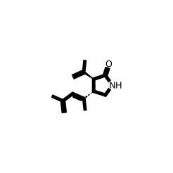 C=C(C)/C=C(\C)[C@H]1CNC(=O)[C@@H]1C(=C)C